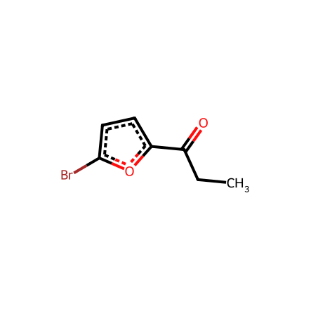 CCC(=O)c1ccc(Br)o1